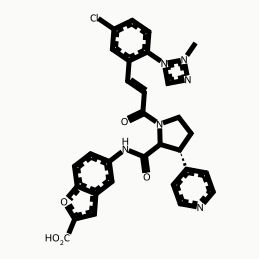 Cn1ncn1-c1ccc(Cl)cc1/C=C/C(=O)N1CC[C@H](c2ccncc2)C1C(=O)Nc1ccc2oc(C(=O)O)cc2c1